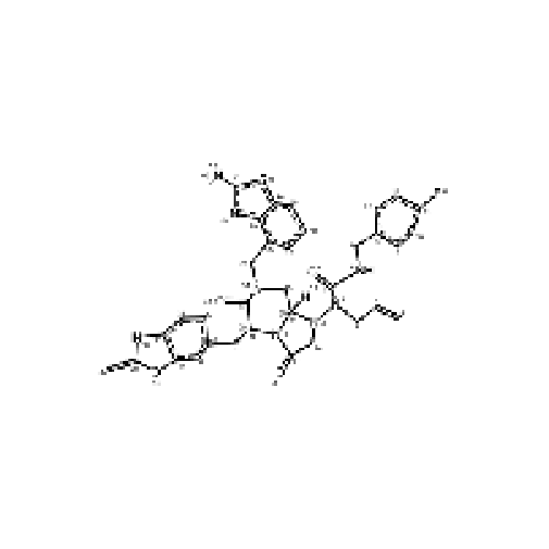 C=CCN(C(=O)NCc1ccc(F)cc1)N1CC(=O)N2[C@@H](Cc3ccc4c(c3)OC(=C)N4)C(=O)N(Cc3cccc4sc(N)nc34)C[C@@H]21